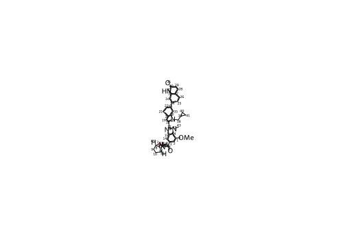 COc1cc(C(=O)N2C[C@H]3CC[C@@H]2[C@@H]3N)cc2nc(-c3cc4ccc(-c5ccc6ccc(=O)[nH]c6c5)cc4n3CC3CC3)n(C)c12